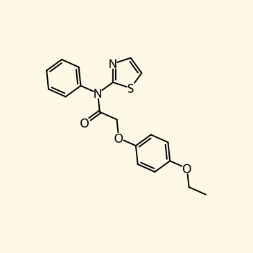 CCOc1ccc(OCC(=O)N(c2ccccc2)c2nccs2)cc1